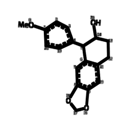 COc1ccc(C2c3cc4c(cc3CCC2O)OCO4)cc1